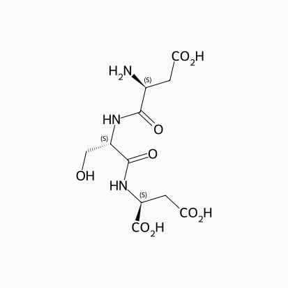 N[C@@H](CC(=O)O)C(=O)N[C@@H](CO)C(=O)N[C@@H](CC(=O)O)C(=O)O